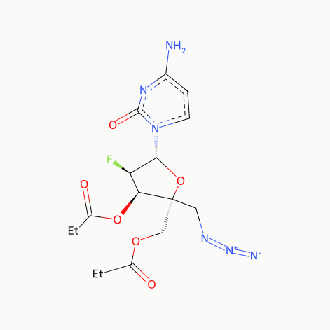 CCC(=O)OC[C@@]1(CN=[N+]=[N-])O[C@@H](n2ccc(N)nc2=O)[C@H](F)[C@@H]1OC(=O)CC